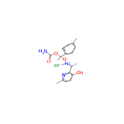 CC(c1nc(C)ccc1O)=[N+](Cl)OC(C)(OC(N)=O)c1ccc(C)cc1